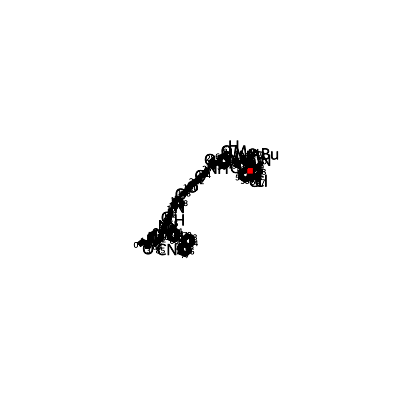 C=CC(=O)N1CCN(c2nc(OCC[C@H]3C[C@@H](OCCOCCOCCNC(=O)c4ccc(NC(=O)[C@@H]5N[C@@H](CC(C)(C)C)[C@](C#N)(c6ccc(Cl)cc6F)[C@H]5c5cccc(Cl)c5F)c(OC)c4)CN3)nc3c2CCN(c2cccc4ccccc24)C3)C[C@@H]1CC#N